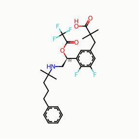 CC(C)(CCCc1ccccc1)NC[C@@H](OC(=O)C(F)(F)F)c1cc(CC(C)(C)C(=O)O)cc(F)c1F